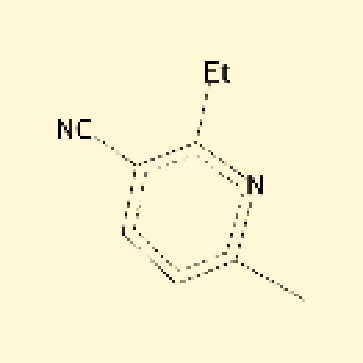 CCc1nc(C)ccc1C#N